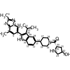 Cc1nc2c(C)cc(-c3[nH]c4ccc(C5CCN(C(=O)[C@@H]6C[C@@H](O)CN6)CC5)cc4c3C(C)C)cn2n1